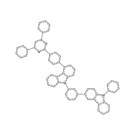 c1ccc(-c2cc(-c3ccccc3)nc(-c3ccc(-c4cccc5c4c4ccccc4n5-c4cccc(-c5ccc6c(c5)c5ccccc5n6-c5ccccc5)c4)cc3)n2)cc1